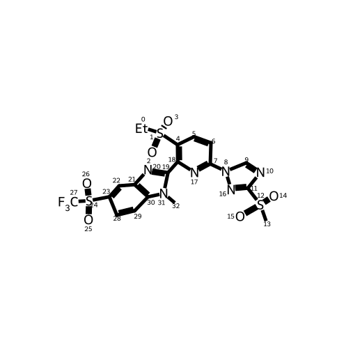 CCS(=O)(=O)c1ccc(-n2cnc(S(C)(=O)=O)n2)nc1-c1nc2cc(S(=O)(=O)C(F)(F)F)ccc2n1C